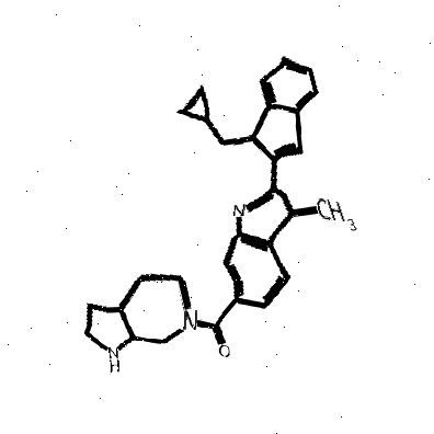 CC1C(C2=Cc3ccccc3C2CC2CC2)=Nc2cc(C(=O)N3CCC4CCNC4C3)ccc21